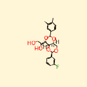 Cc1ccc(C2O[C@H]([C@H](O)CO)[C@@H]3OC(c4cccc(F)c4)OC[C@@H]3O2)cc1C